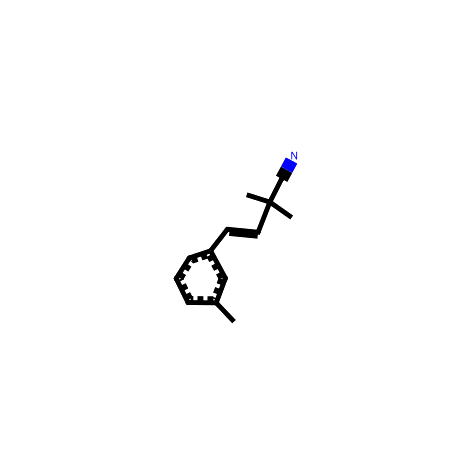 Cc1cccc(C=CC(C)(C)C#N)c1